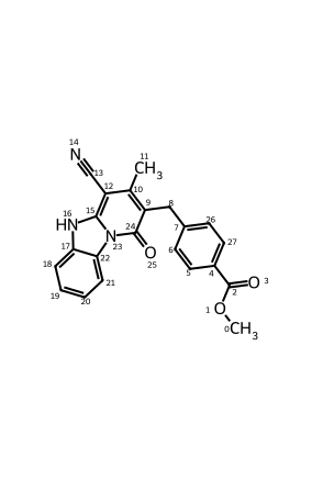 COC(=O)c1ccc(Cc2c(C)c(C#N)c3[nH]c4ccccc4n3c2=O)cc1